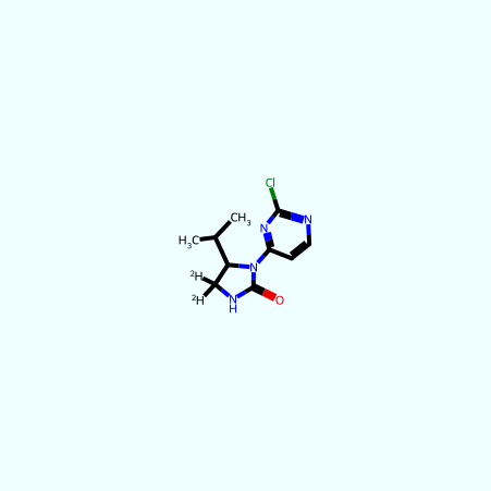 [2H]C1([2H])NC(=O)N(c2ccnc(Cl)n2)C1C(C)C